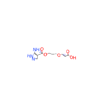 Nc1[nH]ncc1C(=O)OCCCO/C=C/C(=O)O